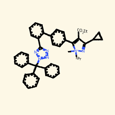 CCC[N+]1(C)N=C(C2CC2)C(C(=O)OCC)=C1c1ccc(-c2ccccc2-c2nnn(C(c3ccccc3)(c3ccccc3)c3ccccc3)n2)cc1